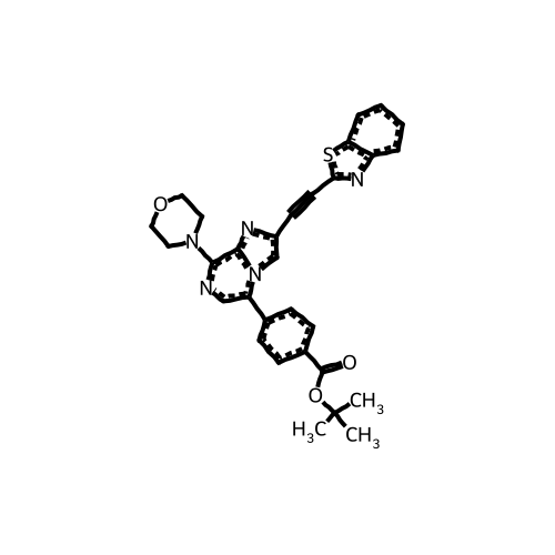 CC(C)(C)OC(=O)c1ccc(-c2cnc(N3CCOCC3)c3nc(C#Cc4nc5ccccc5s4)cn23)cc1